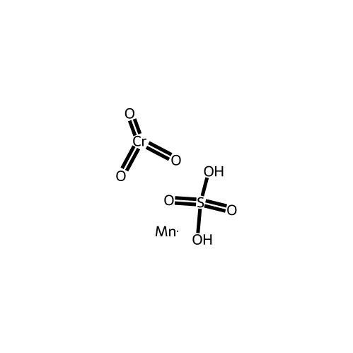 O=S(=O)(O)O.[Mn].[O]=[Cr](=[O])=[O]